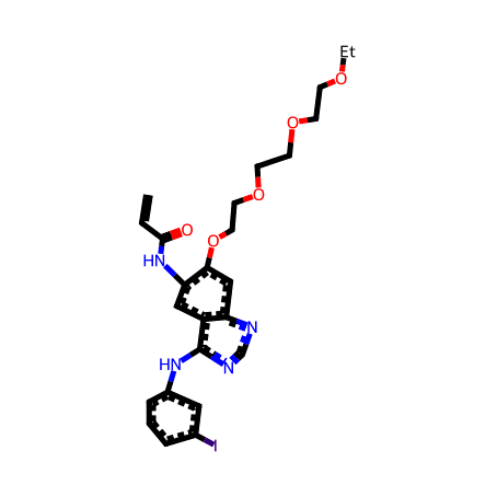 C=CC(=O)Nc1cc2c(Nc3cccc(I)c3)ncnc2cc1OCCOCCOCCOCC